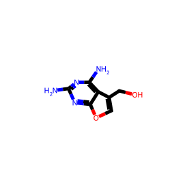 Nc1nc(N)c2c(CO)coc2n1